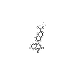 CC(C)(C)OC(=O)N1CCc2cc(-c3n[nH]c(=O)c4ccccc34)ccc2C1